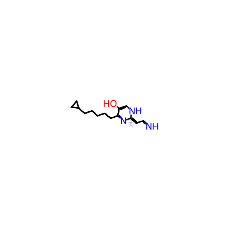 N=C/C=C1/N=C(CCCCCC2CC2)C(O)=CN1